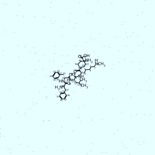 CNCCCCC[C@@H](NC(=O)[C@@H](CC(C)C)NC(=O)[C@@H](Cc1ccccc1)NC(=O)[C@H](N)Cc1ccccc1)C(=O)N1CCC(N)(C(=O)O)CC1